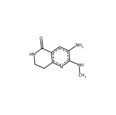 CNc1nc2c(cc1N)C(=O)NCC2